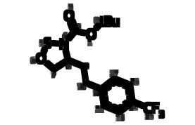 CC(C)(C)OC(=O)N1SOCC1CCc1ccc(C(F)(F)F)cc1